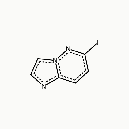 Ic1ccc2nccn2n1